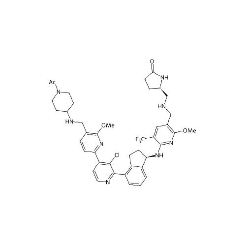 COc1nc(-c2ccnc(-c3cccc4c3CC[C@H]4Nc3nc(OC)c(CNC[C@H]4CCC(=O)N4)cc3C(F)(F)F)c2Cl)ccc1CNC1CCN(C(C)=O)CC1